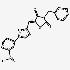 O=C1/C(=C/c2ccc(-c3cccc([N+](=O)[O-])c3)o2)SC(=S)N1Cc1ccccc1